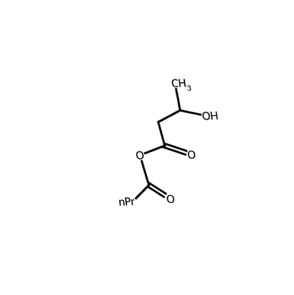 CCCC(=O)OC(=O)CC(C)O